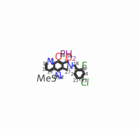 CSN(C)c1c2c(c(OP)c3ncccc13)C(=O)N(Cc1ccc(Cl)cc1F)C2